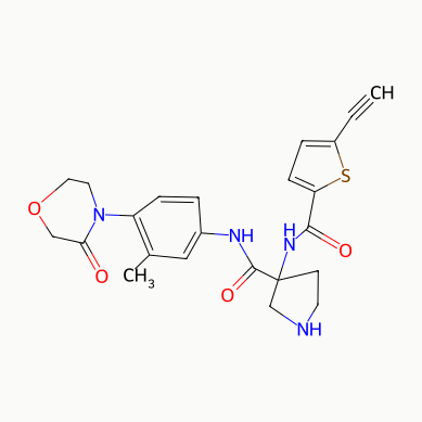 C#Cc1ccc(C(=O)NC2(C(=O)Nc3ccc(N4CCOCC4=O)c(C)c3)CCNC2)s1